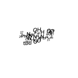 CC(C)(C)[C@@H](C(=O)N1C[C@H](O)C[C@H]1C(=O)NCC1CCCS(=O)(=O)C1)n1cc(C2CC2)nn1